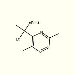 CCCCCC(C)(CC)c1nc(C)cnc1I